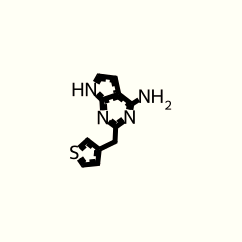 Nc1nc(Cc2ccsc2)nc2[nH]ccc12